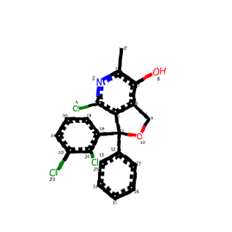 Cc1nc(Cl)c2c(c1O)COC2(c1ccccc1)c1cccc(Cl)c1Cl